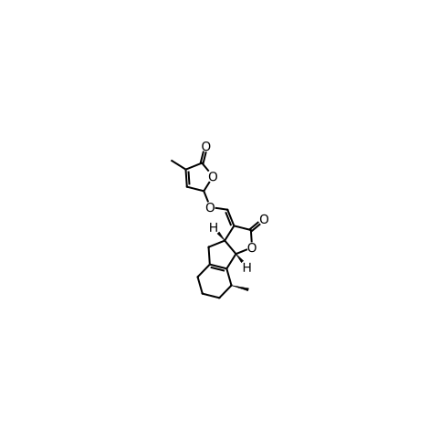 CC1=CC(O/C=C2/C(=O)O[C@@H]3C4=C(CCC[C@@H]4C)C[C@H]23)OC1=O